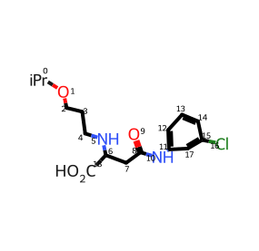 CC(C)OCCCNC(CC(=O)Nc1cccc(Cl)c1)C(=O)O